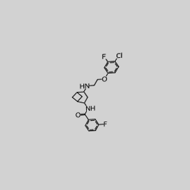 O=C(NC1CC(NCCOc2ccc(Cl)c(F)c2)C2CC1C2)c1cccc(F)c1